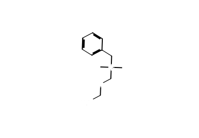 C[Si](C)(CSCC(=O)O)Cc1ccccc1